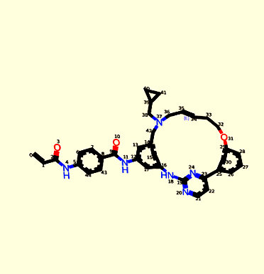 C=CC(=O)Nc1ccc(C(=O)Nc2cc3cc(c2)Nc2nccc(n2)-c2cccc(c2)OCC/C=C/CN(CC2CC2)C3)cc1